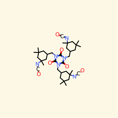 CC1(C)CC(Cn2c(=O)n(CC3CC(C)(C)CC(C)(N=C=O)C3)c(=O)n(CC3CC(C)(C)CC(C)(N=C=O)C3)c2=O)CC(C)(N=C=O)C1